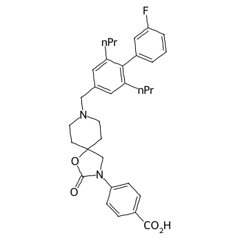 CCCc1cc(CN2CCC3(CC2)CN(c2ccc(C(=O)O)cc2)C(=O)O3)cc(CCC)c1-c1cccc(F)c1